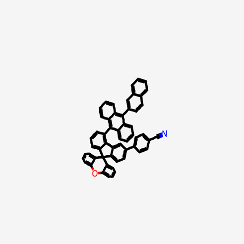 N#Cc1ccc(-c2ccc3c(c2)-c2c(-c4c5ccccc5c(-c5ccc6ccccc6c5)c5ccccc45)cccc2C32c3ccccc3Oc3ccccc32)cc1